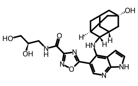 O=C(NC[C@@H](O)CO)c1noc(-c2cnc3[nH]ccc3c2N[C@H]2[C@@H]3CC4C[C@H]2C[C@@](O)(C4)C3)n1